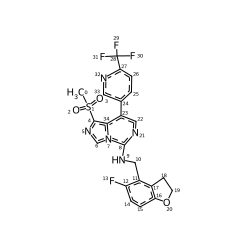 CS(=O)(=O)c1ncn2c(NCc3c(F)ccc4c3CCO4)ncc(-c3ccc(C(F)(F)F)nc3)c12